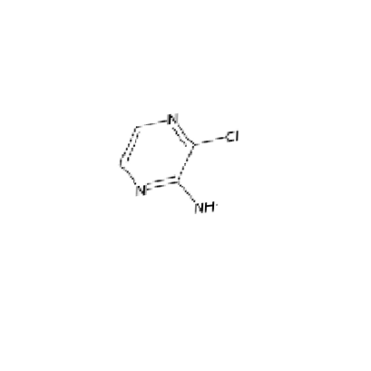 [NH]c1nccnc1Cl